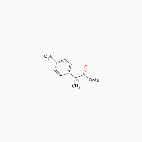 COC(=O)[C@H](C)c1ccc([N+](=O)[O-])cc1